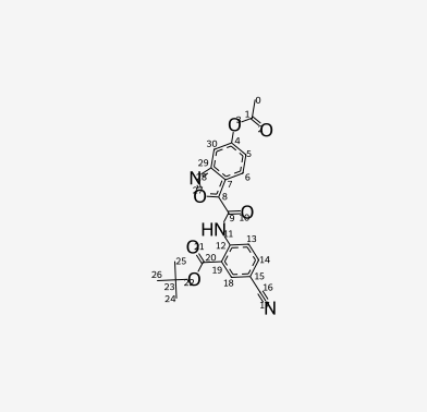 CC(=O)Oc1ccc2c(C(=O)Nc3ccc(C#N)cc3C(=O)OC(C)(C)C)onc2c1